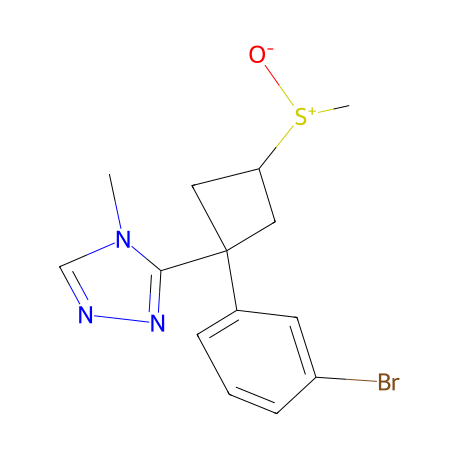 Cn1cnnc1C1(c2cccc(Br)c2)CC([S+](C)[O-])C1